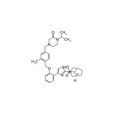 Cc1cc(CN2CCN(C(C)C)C(=O)C2)ccc1COc1ccccc1-c1csc(N2CC3CC[C@@H](C2)C3C(=O)O)n1